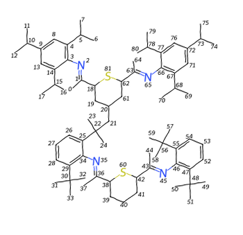 C/C(=N\c1c(C(C)C)cc(C(C)C)cc1C(C)C)C1CC(CC(C)(C)c2cccc(C(C)(C)C)c2/N=C(\C)C2CCCC(/C(C)=N/c3c(C(C)(C)C)cccc3C(C)(C)C)S2)CC(/C(C)=N/c2c(C(C)C)cc(C(C)C)cc2C(C)C)S1